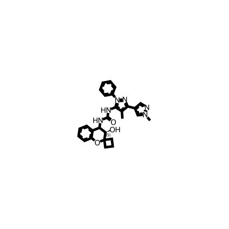 Cc1c(-c2cnn(C)c2)nn(-c2ccccc2)c1NC(=O)NC1c2ccccc2OC2(CCC2)[C@H]1O